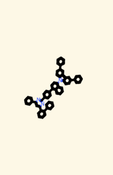 c1ccc(-c2ccc3c(c2)c2cc(-c4ccccc4)ccc2n3-c2ccc(-c3ccc(-c4nc(-c5ccccc5)cc(-c5ccccc5-c5ccccc5)n4)cc3)c3ccccc23)cc1